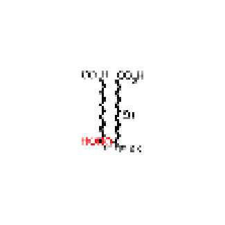 CCCCCCC(O)CC=CCCCCCCCC(=O)O.CCCCCCC(O)CC=CCCCCCCCC(=O)O.[Zn]